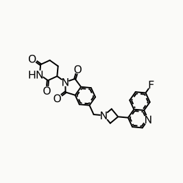 O=C1CCC(N2C(=O)c3ccc(CN4CC(c5ccnc6cc(F)ccc56)C4)cc3C2=O)C(=O)N1